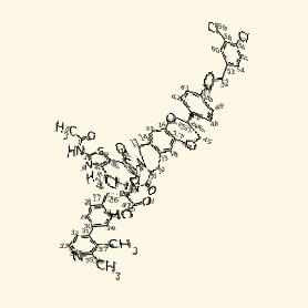 CC(=O)Nc1nc(C)c(S(=O)(=O)N2Cc3cc4c(cc3C[C@H]2C(=O)N[C@@H](Cc2ccc(-c3ccnc(C)c3C)cc2)C(=O)O)OC[C@H](c2ccc(OCc3ccc(Cl)c(Cl)c3)cc2)O4)s1